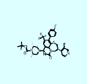 C[C@@H]1CN(c2nc(=O)n3c4c(c(-c5ccc(F)cc5)c(C(F)(F)F)cc24)SC[C@@H](c2ccncc2F)C3)C[C@H](C)N1C(=O)OC(C)(C)C